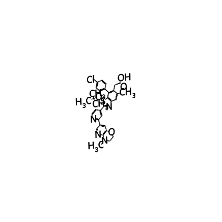 Cc1cc2nc(-c3ccnc(-c4cnc5c(c4)OCCN5C)c3)sc2c(-c2ccc(Cl)cc2OC(C)(C)C)c1CC(=O)O